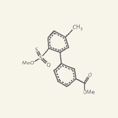 COC(=O)c1cccc(-c2cc(C)ccc2S(=O)(=S)OC)c1